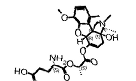 COc1ccc(C)c2c1O[C@H]1C(OC(=O)[C@H](C)OC(=O)[C@@H](N)CCC(=O)O)=CC[C@@]3(O)[C@@H](C)N(C)CC[C@]213